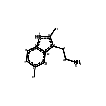 Cc1ccc2[nH]c(C)c(CCN)c2c1